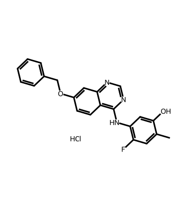 Cc1cc(F)c(Nc2ncnc3cc(OCc4ccccc4)ccc23)cc1O.Cl